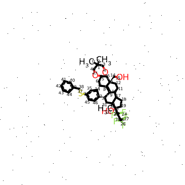 CC1(C)COC2(CCC3=C4C(CC[C@@]3(CO)C2)C2CC[C@@](O)(C(F)(F)C(F)(F)F)[C@@]2(C)C[C@@H]4c2ccc(SCc3ccccc3)cc2)OC1